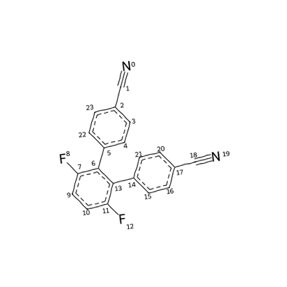 N#Cc1ccc(-c2c(F)ccc(F)c2-c2ccc(C#N)cc2)cc1